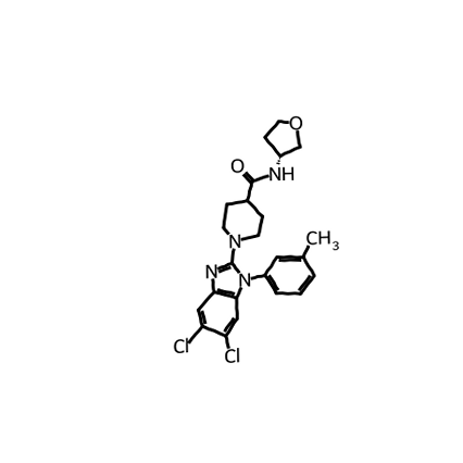 Cc1cccc(-n2c(N3CCC(C(=O)N[C@@H]4CCOC4)CC3)nc3cc(Cl)c(Cl)cc32)c1